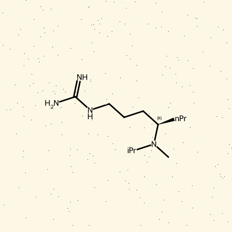 CCC[C@H](CCCNC(=N)N)N(C)C(C)C